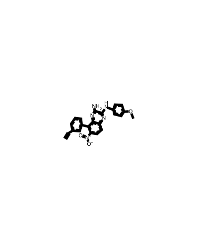 C#Cc1cccc(-c2c([N+](=O)[O-])ccc3nc(Nc4ccc(OC)cc4)c(N)nc23)c1